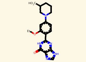 CCOc1cc(N2CCCC(C(=O)O)C2)ccc1-c1nc2[nH]cnc2c(=O)[nH]1